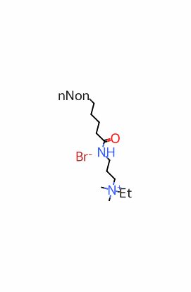 CCCCCCCCCCCCCC(=O)NCCC[N+](C)(C)CC.[Br-]